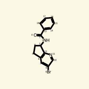 O=C(NC1CCc2cc(Br)cnc21)c1ccccc1